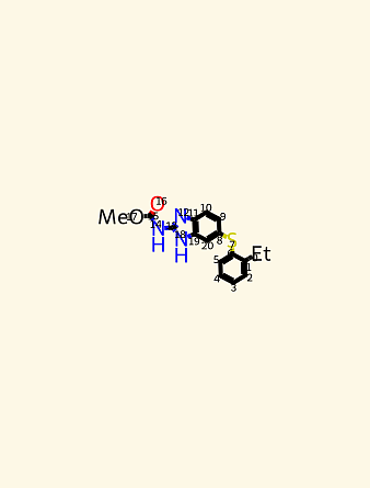 CCc1ccccc1Sc1ccc2nc(NC(=O)OC)[nH]c2c1